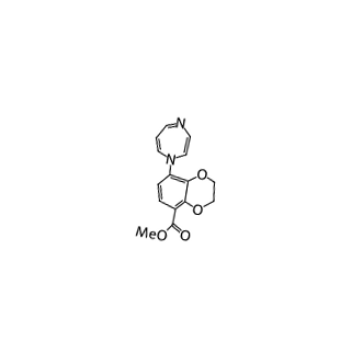 COC(=O)c1ccc(N2C=CC=NC=C2)c2c1OCCO2